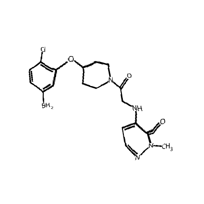 Bc1ccc(Cl)c(OC2CCN(C(=O)CNc3ccnn(C)c3=O)CC2)c1